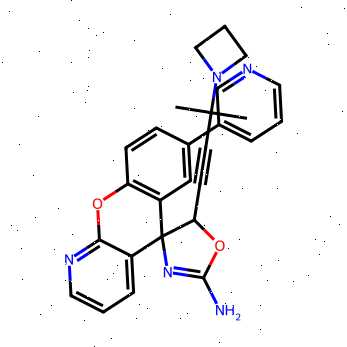 CC(C)(C#CC1OC(N)=NC12c1cc(-c3cccnc3)ccc1Oc1ncccc12)N1CCC1